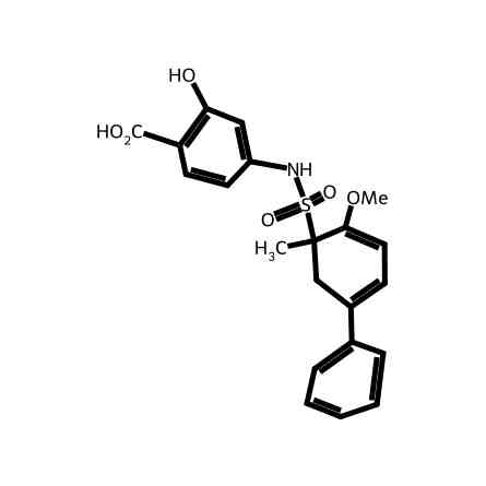 COC1=CC=C(c2ccccc2)CC1(C)S(=O)(=O)Nc1ccc(C(=O)O)c(O)c1